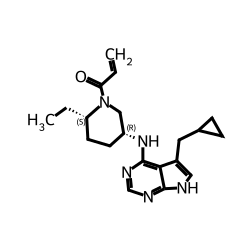 C=CC(=O)N1C[C@H](Nc2ncnc3[nH]cc(CC4CC4)c23)CC[C@@H]1CC